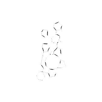 CC12c3cc(C4=Nc5oc6ccccc6c5C(c5ccccc5)N4)ccc3C3=CC(CCC3)c3cccc4c3C3=CC1C(C=C3C41CCCCC1)c1ccccc12